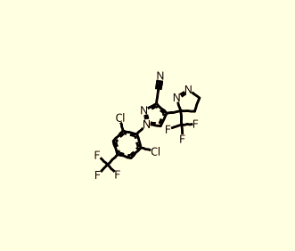 N#Cc1nn(-c2c(Cl)cc(C(F)(F)F)cc2Cl)cc1C1(C(F)(F)F)CCN=N1